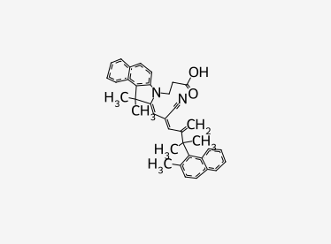 C=C(/C=C(C#N)/C=C1\N(CCC(=O)O)c2ccc3ccccc3c2C1(C)C)C(C)(C)c1c(C)ccc2ccccc12